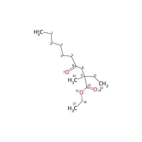 CCCCCCC(=O)CC(C)(CC)C(=O)OCC